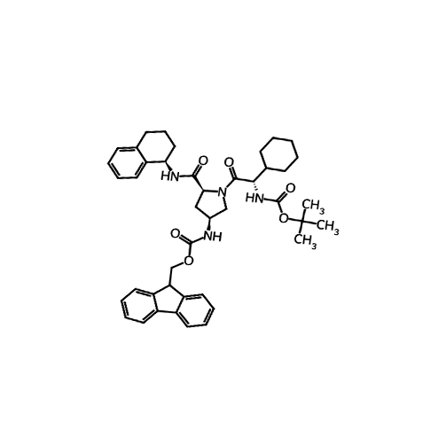 CC(C)(C)OC(=O)N[C@H](C(=O)N1C[C@@H](NC(=O)OCC2c3ccccc3-c3ccccc32)C[C@H]1C(=O)N[C@@H]1CCCc2ccccc21)C1CCCCC1